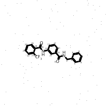 O=C(NCc1ccccc1)c1cccc(NC(=O)c2ccccc2C(F)(F)F)c1